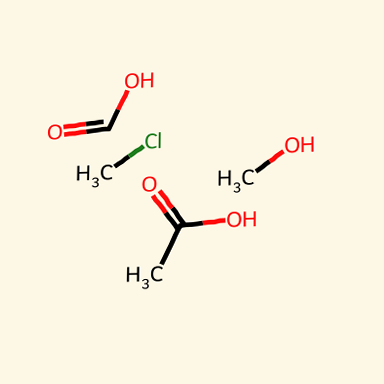 CC(=O)O.CCl.CO.O=CO